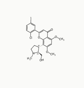 COc1cc(OC)c2c(=O)cc(-c3cc(I)ccc3Cl)oc2c1[C@H]1CCN(C)[C@@H]1CO